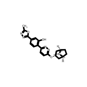 Cc1nnc(-c2ccc(-c3ccc(O[C@@H]4C[C@H]5CC[C@@H](C4)N5)nn3)c(O)c2)o1